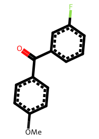 COc1ccc(C(=O)c2cccc(F)c2)cc1